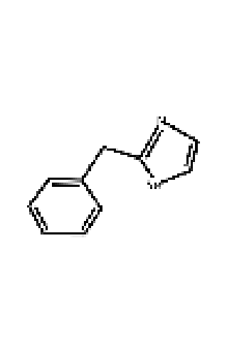 c1ccc(Cc2ncc[se]2)cc1